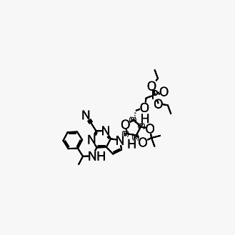 CCOP(=O)(COC[C@H]1O[C@@H](n2ccc3c(NC(C)c4ccccc4)nc(C#N)nc32)[C@@H]2OC(C)(C)O[C@@H]21)OCC